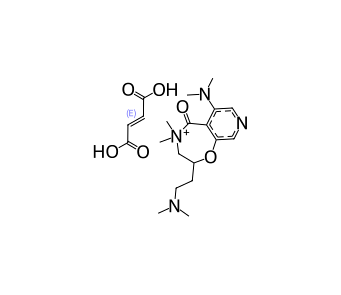 CN(C)CCC1C[N+](C)(C)C(=O)c2c(cncc2N(C)C)O1.O=C(O)/C=C/C(=O)O